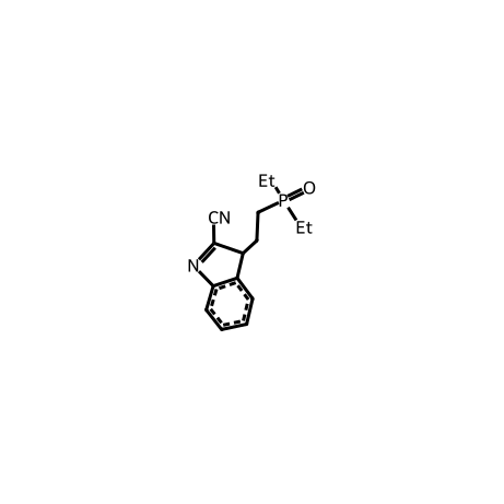 CCP(=O)(CC)CCC1C(C#N)=Nc2ccccc21